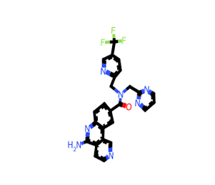 Nc1nc2ccc(C(=O)N(Cc3ccc(C(F)(F)F)cn3)Cc3ncccn3)cc2c2cnccc12